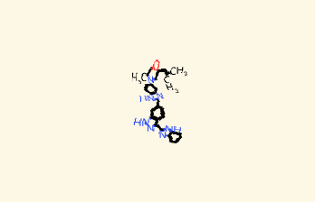 CC(C)CC1CN(c2ccc3[nH]c(-c4ccc5c(-c6nc7ccccc7[nH]6)n[nH]c5c4)nc3c2)C(C)CO1